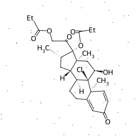 CCC(=O)OCC(=O)[C@]1(OC(=O)CC)[C@@H](C)C[C@H]2[C@@H]3CCC4=CC(=O)C=C[C@]4(C)[C@@]3(Cl)[C@H](O)C[C@@]21C